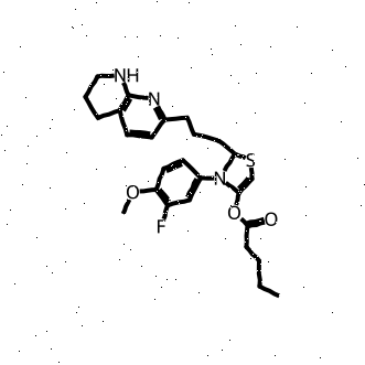 CCCCC(=O)OC1=CSC(CCCc2ccc3c(n2)NCCC3)N1c1ccc(OC)c(F)c1